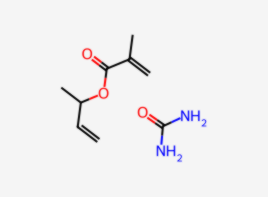 C=CC(C)OC(=O)C(=C)C.NC(N)=O